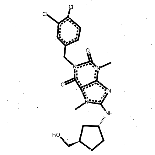 Cn1c(N[C@@H]2CC[C@@H](CO)C2)nc2c1c(=O)n(Cc1ccc(Cl)c(Cl)c1)c(=O)n2C